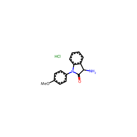 COc1ccc(N2C(=O)C(N)c3ccccc32)cc1.Cl